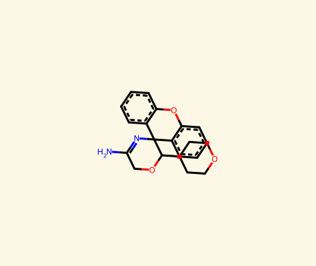 NC1=NC2(c3ccccc3Oc3ccccc32)C(C2CCOCC2)OC1